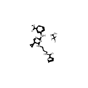 COC(=O)c1cccc(Nc2ncc(C3CC3)c(NCCCNC(=O)c3cccs3)n2)c1.O=C(O)C(F)(F)F